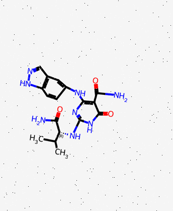 CC(C)[C@@H](Nc1nc(Nc2ccc3[nH]ncc3c2)c(C(N)=O)c(=O)[nH]1)C(N)=O